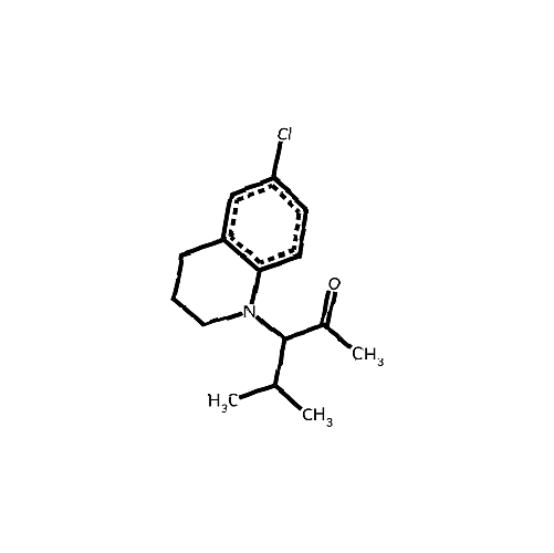 CC(=O)C(C(C)C)N1CCCc2cc(Cl)ccc21